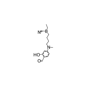 CCB(C#N)CCCCN(C)c1ccc(C=O)c(O)c1